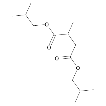 CC(C)COC(=O)CC(C)C(=O)OCC(C)C